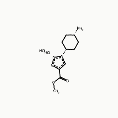 COC(=O)c1cn([C@H]2CC[C@@H](N)CC2)nn1.Cl.Cl